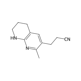 Cc1nc2c(cc1CCC#N)CCCN2